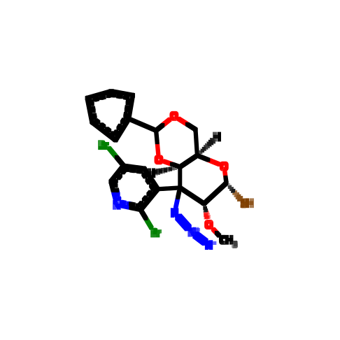 CO[C@H]1[C@@H](S)O[C@@H]2COC(c3ccccc3)O[C@@H]2C1(N=[N+]=[N-])c1cc(Br)cnc1Br